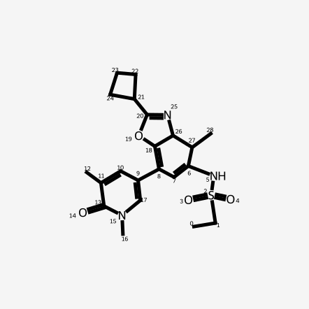 CCS(=O)(=O)NC1=CC(c2cc(C)c(=O)n(C)c2)=C2OC(C3CCC3)=NC2C1C